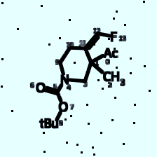 CC(=O)C1(C)CN(C(=O)OC(C)(C)C)CCC1=CF